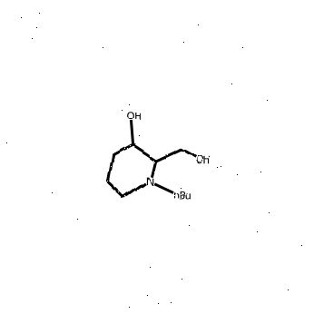 CCCCN1CCCC(O)C1CO